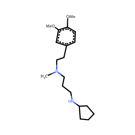 COc1ccc(CCN(C)CCCNC2CCCC2)cc1OC